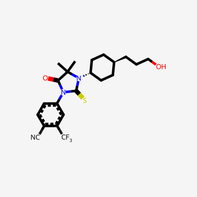 CC1(C)C(=O)N(c2ccc(C#N)c(C(F)(F)F)c2)C(=S)N1[C@H]1CC[C@H](CCCO)CC1